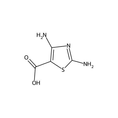 Nc1nc(N)c(C(=O)O)s1